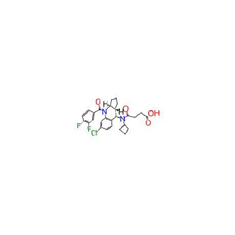 O=C(O)CCC(=O)N(C1CCC1)[C@H]1c2ccc(Cl)cc2N(C(=O)c2ccc(F)c(F)c2)[C@@H]2CCC[C@@H]21